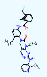 Cc1ccc(NC(=O)c2cccc(CF)c2)cc1N1Cc2cnc(Nc3cccnc3C)nc2N(C)C1=O